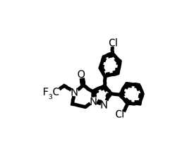 O=C1c2c(-c3ccc(Cl)cc3)c(-c3ccccc3Cl)nn2CCN1CC(F)(F)F